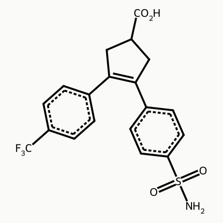 NS(=O)(=O)c1ccc(C2=C(c3ccc(C(F)(F)F)cc3)CC(C(=O)O)C2)cc1